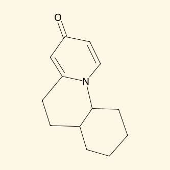 O=c1ccn2c(c1)CCC1CCCCC12